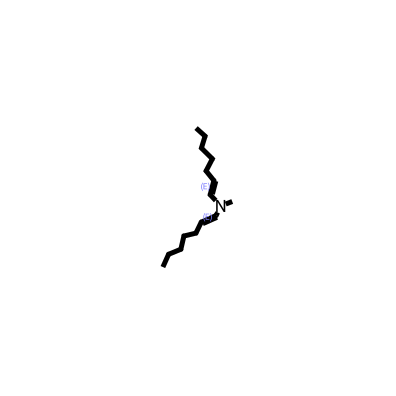 CCCCC/C=C/N(C)/C=C/CCCCC